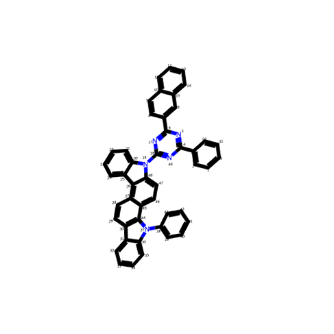 c1ccc(-c2nc(-c3ccc4ccccc4c3)nc(-n3c4ccccc4c4c5ccc6c7ccccc7n(-c7ccccc7)c6c5ccc43)n2)cc1